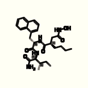 CCCC[C@H](CC(=O)NO)C(=O)N[C@@H](Cc1cccc2ccccc12)C(=O)N[C@H](C(N)=O)[C@@H](C)CC